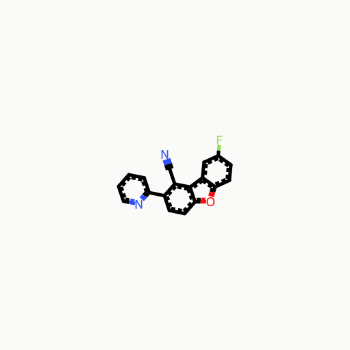 N#Cc1c(-c2ccccn2)ccc2oc3ccc(F)cc3c12